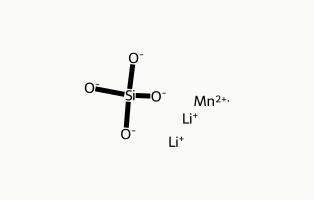 [Li+].[Li+].[Mn+2].[O-][Si]([O-])([O-])[O-]